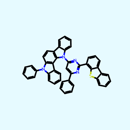 c1ccc(-c2cc(-n3c4ccccc4c4ccc5c(c6ccccc6n5-c5ccccc5)c43)nc(-c3cccc4c3sc3ccccc34)n2)cc1